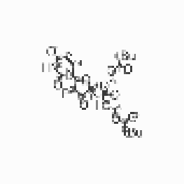 CC(C)(C)C(=O)OCOP(=O)(C[C@@]1(C)O[C@@H](n2ccc(=O)[nH]c2=O)[C@H](F)[C@@H]1O)OCOC(=O)C(C)(C)C